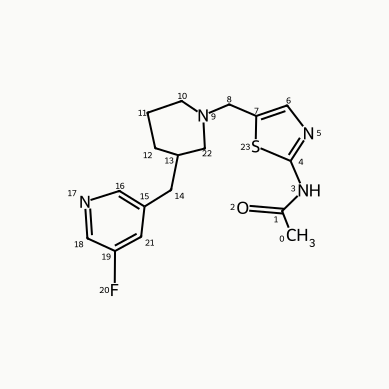 CC(=O)Nc1ncc(CN2CCCC(Cc3cncc(F)c3)C2)s1